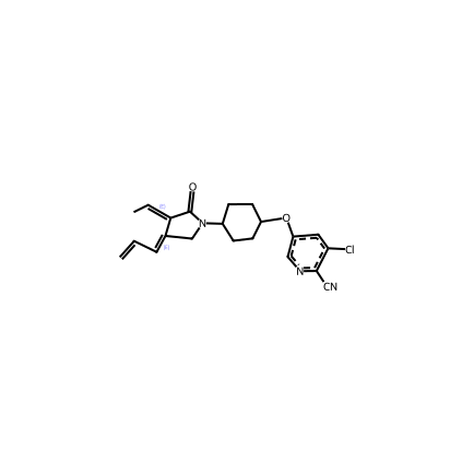 C=C/C=C1/CN(C2CCC(Oc3cnc(C#N)c(Cl)c3)CC2)C(=O)/C1=C/C